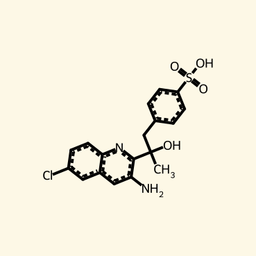 CC(O)(Cc1ccc(S(=O)(=O)O)cc1)c1nc2ccc(Cl)cc2cc1N